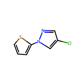 Clc1cnn(-c2cc[c]s2)c1